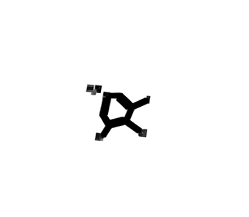 Clc1c(Br)cncc1I.N